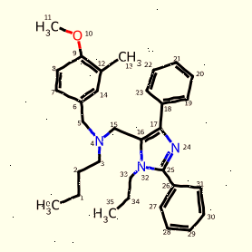 CCCCN(Cc1ccc(OC)c(C)c1)Cc1c(-c2ccccc2)nc(-c2ccccc2)n1CCC